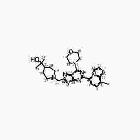 Cc1ccc(-c2nc(N3CCOCC3)c3nc(CN4CCC(C(C)(C)O)CC4)sc3n2)n2ccnc12